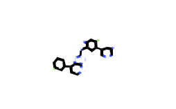 Nc1cncc(-c2cc3c(-c4nc5c(-c6cccc(F)c6)ccnc5[nH]4)n[nH]c3cc2F)c1